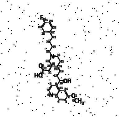 COc1ccc2nccc(C(O)CC[C@@H]3CCN(CCCCc4ccc(F)cc4)C[C@@H]3CC(=O)O)c2c1